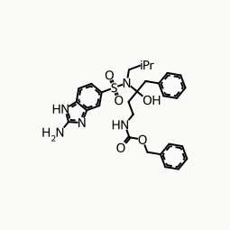 CC(C)CN(C(O)(CCNC(=O)OCc1ccccc1)Cc1ccccc1)S(=O)(=O)c1ccc2[nH]c(N)nc2c1